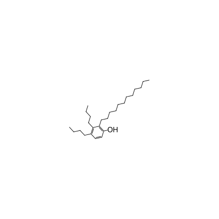 CCCCCCCCCCCCc1c(O)ccc(CCCC)c1CCCC